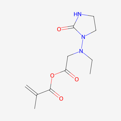 C=C(C)C(=O)OC(=O)CN(CC)N1CCNC1=O